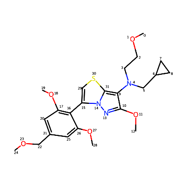 COCCN(CC1CC1)c1c(OC)nn2c(-c3c(OC)cc(COC)cc3OC)csc12